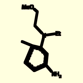 CCN(CCOC)c1cc(N)ccc1C